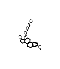 COCCOCOCC[C@]12CCC3=C(CCc4cc(OC)ccc43)C1CCC2=O